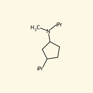 CC(C)C1CCC(N(C)C(C)C)C1